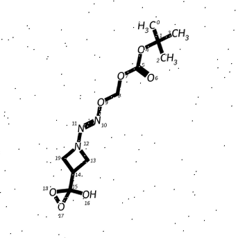 CC(C)(C)OC(=O)OCON=NN1CC(C2(O)OO2)C1